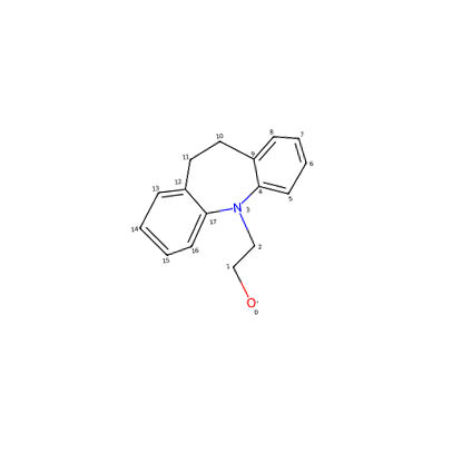 [O]CCN1c2ccccc2CCc2ccccc21